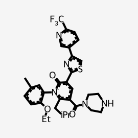 CCOc1ccc(C)cc1-n1c(CC(C)C)c(C(=O)N2CCNCC2)cc(-c2nc(-c3ccc(C(F)(F)F)nc3)cs2)c1=O